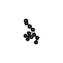 c1ccc(-c2cccc(-c3ccc(N(c4cccc(-c5ccc(-c6ccc7ccccc7c6)cc5)c4)c4cccc5c4-c4ccccc4C5(c4ccccc4)c4ccccc4)cc3)c2)cc1